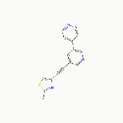 Cc1nc(C#Cc2cncc(-c3ccncc3)c2)cs1